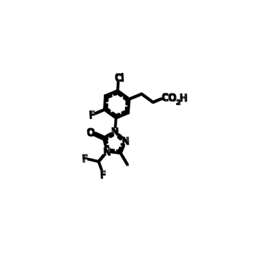 Cc1nn(-c2cc(CCC(=O)O)c(Cl)cc2F)c(=O)n1C(F)F